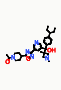 CCC(CC)c1ccc(C(O)(c2cncc(-c3noc(C4CCN(C(C)=O)CC4)n3)c2)C2(C)CN(C)C2)cc1